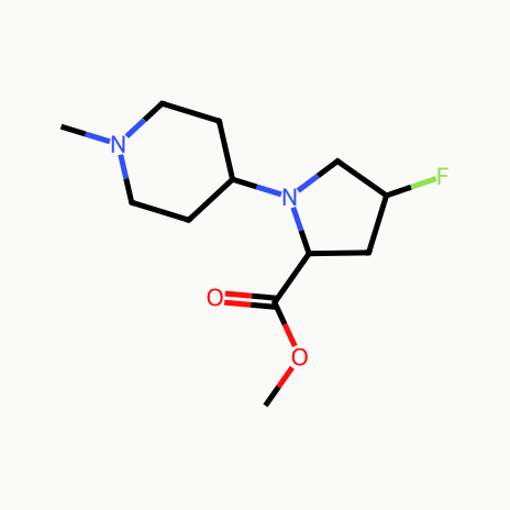 COC(=O)C1CC(F)CN1C1CCN(C)CC1